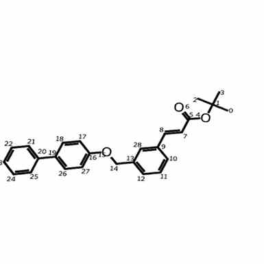 CC(C)(C)OC(=O)/C=C/c1cccc(COc2ccc(-c3ccccc3)cc2)c1